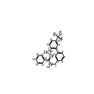 CN(Cc1cccc(-c2cc(C(F)(F)F)ccc2O)c1)C(=O)c1ccccc1